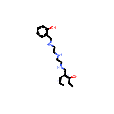 C=C/C(O)=C(\C=C/C)CNCCNCCNCc1ccccc1O